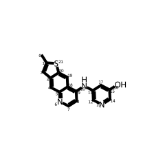 Cc1cc2cc3nccc(Nc4cncc(O)c4)c3cc2s1